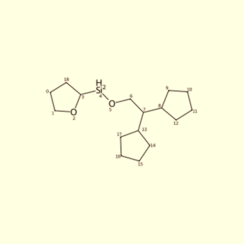 C1COC([SiH2]OCC(C2CCCC2)C2CCCC2)C1